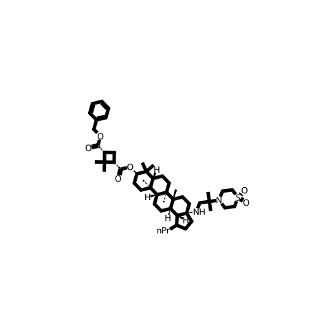 CCCC1CC[C@]2(NCC(C)(C)N3CCS(=O)(=O)CC3)CC[C@]3(C)[C@H](CC[C@@H]4[C@@]5(C)CC[C@H](OC(=O)[C@H]6C[C@@H](C(=O)OCc7ccccc7)C6(C)C)C(C)(C)[C@@H]5CC[C@]43C)[C@@H]12